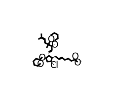 COC(=O)CCCC=CC[C@@H]1[C@@H](C=C[C@@H](OC2CCCCO2)C(C)(C)CC=C(C)C)[C@H](OC2CCCCO2)C[C@H]1Cl